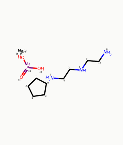 C1CCCC1.NCCNCCN.O=[PH](O)O.[NaH]